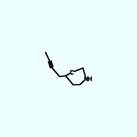 CC#CCC1CCNCC1